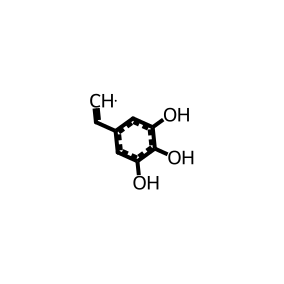 [CH]=Cc1cc(O)c(O)c(O)c1